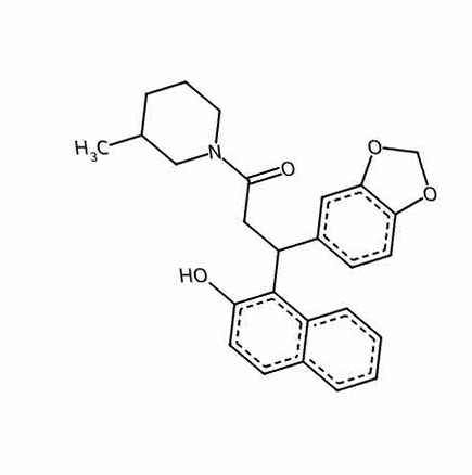 CC1CCCN(C(=O)CC(c2ccc3c(c2)OCO3)c2c(O)ccc3ccccc23)C1